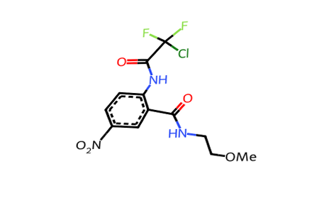 COCCNC(=O)c1cc([N+](=O)[O-])ccc1NC(=O)C(F)(F)Cl